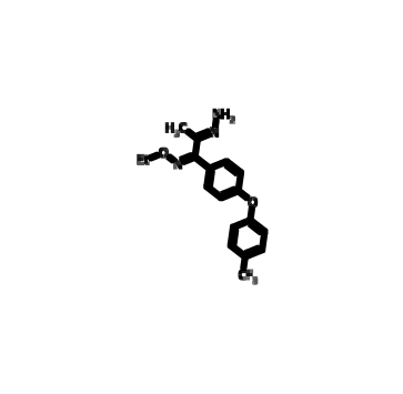 CCON=C(C(C)=NN)c1ccc(Oc2ccc(C(F)(F)F)cc2)cc1